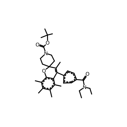 CCN(CC)C(=O)c1ccc(C2=C(C)C3(CCN(C(=O)OC(C)(C)C)CC3)Oc3c(C)c(C)c(C)c(C)c32)cc1